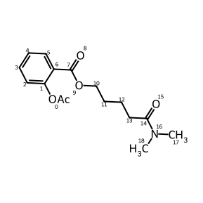 CC(=O)Oc1ccccc1C(=O)OCCCCC(=O)N(C)C